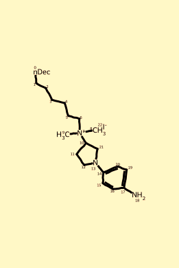 CCCCCCCCCCCCCCCC[N+](C)(C)C1CCN(c2ccc(N)cc2)C1.[I-]